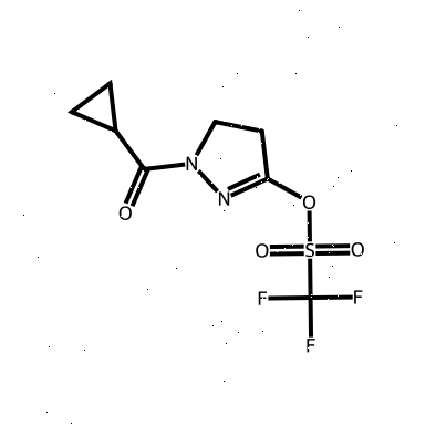 O=C(C1CC1)N1CCC(OS(=O)(=O)C(F)(F)F)=N1